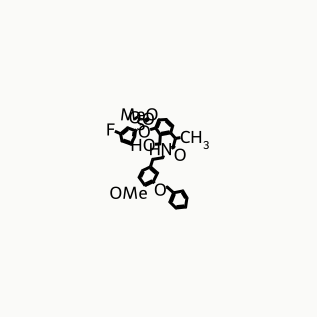 COc1ccc(CCNC(=O)C(C)c2ccc(OC)c(OS(=O)(=O)c3cccc(F)c3)c2CO)cc1OCc1ccccc1